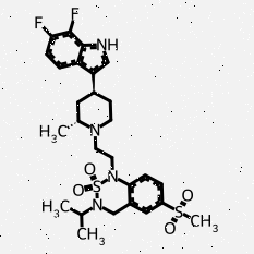 CC(C)N1Cc2cc(S(C)(=O)=O)ccc2N(CCN2CC[C@H](c3c[nH]c4c(F)c(F)ccc34)C[C@H]2C)S1(=O)=O